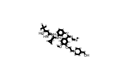 C/N=C\N=C(\Sc1cccc(NC(NC(=N)/C=C(\O)C(C)(C)C)=C2CC2)c1)c1ccc(OC)c(OCCN2CCC(CO)CC2)c1